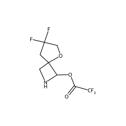 O=C(OC1NCC12CC(F)(F)CO2)C(F)(F)F